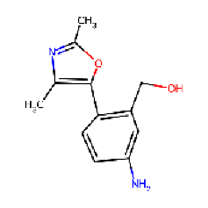 Cc1nc(C)c(-c2ccc(N)cc2CO)o1